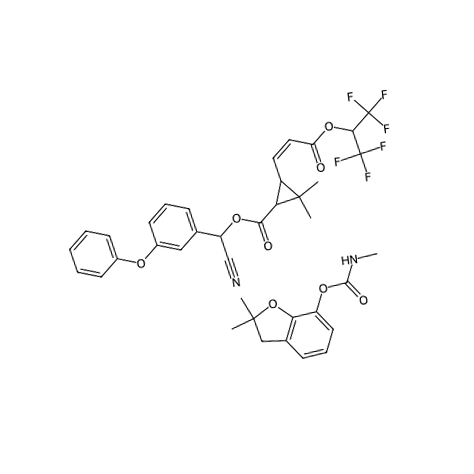 CC1(C)C(/C=C\C(=O)OC(C(F)(F)F)C(F)(F)F)C1C(=O)OC(C#N)c1cccc(Oc2ccccc2)c1.CNC(=O)Oc1cccc2c1OC(C)(C)C2